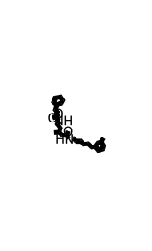 Cc1cccc(CCCC=CCNC(=O)CC(C)CCNC(=O)OCc2ccccc2)c1